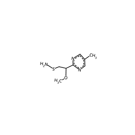 COC(CSN)c1ncc(C)cn1